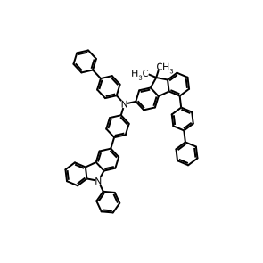 CC1(C)c2cc(N(c3ccc(-c4ccccc4)cc3)c3ccc(-c4ccc5c(c4)c4ccccc4n5-c4ccccc4)cc3)ccc2-c2c(-c3ccc(-c4ccccc4)cc3)cccc21